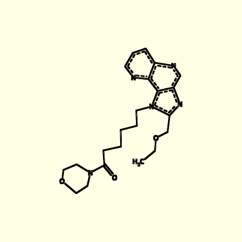 CCOCc1nc2cnc3cccnc3c2n1CCCCCC(=O)N1CCOCC1